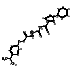 CC(C)C1=C=C=C(OCC(=S)NNC(=S)NC(=O)c2ccc(-c3ccccc3)o2)C=C1